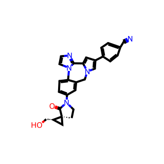 N#Cc1ccc(-c2cc3n(c2)Cc2cc(N4CC[C@@]5(C[C@@H]5CO)C4=O)ccc2-n2ccnc2-3)cc1